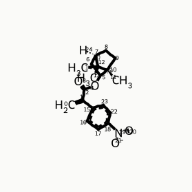 C=C(C(=O)OC1C[C@H]2CC[C@@]1(C)C2(C)C)c1ccc([N+](=O)[O-])cc1